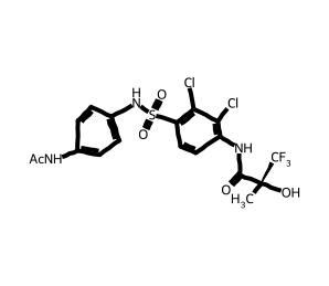 CC(=O)Nc1ccc(NS(=O)(=O)c2ccc(NC(=O)[C@@](C)(O)C(F)(F)F)c(Cl)c2Cl)cc1